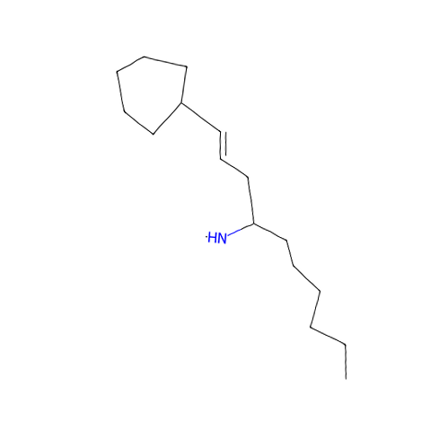 CCCCCCC([NH])CC=CC1CCCCC1